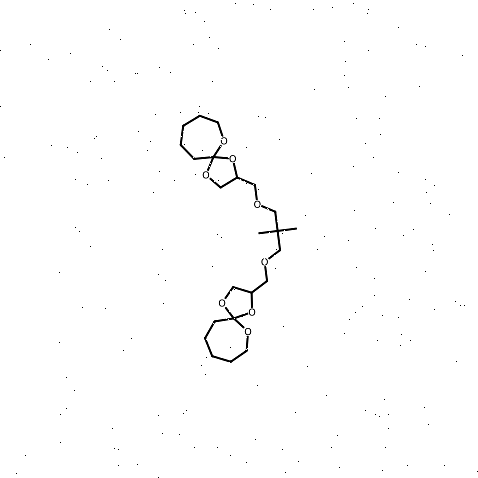 CC(C)(COCC1COC2(CCCCCO2)O1)COCC1COC2(CCCCCO2)O1